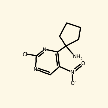 NC1(c2nc(Cl)ncc2[N+](=O)[O-])CCCC1